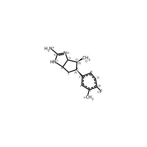 Cc1cc([C@H]2CC3NC(N)=NC3[C@H]2C)ccc1F